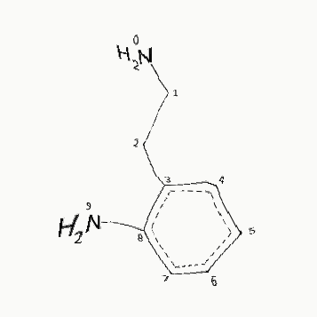 NCCc1ccccc1N